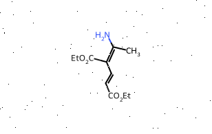 CCOC(=O)/C=C/C(C(=O)OCC)=C(\C)N